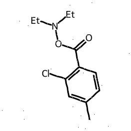 CCN(CC)OC(=O)c1ccc(C)cc1Cl